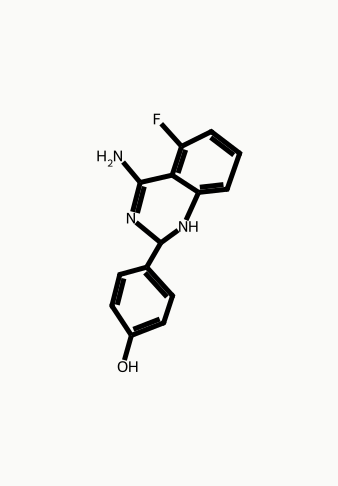 NC1=NC(c2ccc(O)cc2)Nc2cccc(F)c21